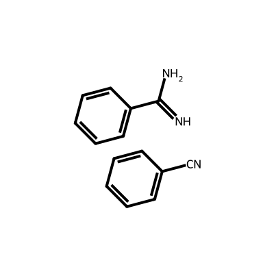 N#Cc1ccccc1.N=C(N)c1ccccc1